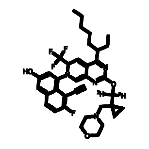 [2H]C([2H])(Oc1nc(C(CC)CCCCC)c2c(n1)=CN(c1cc(O)cc3ccc(F)c(C#C)c13)C(C(F)(F)F)C=2)C1(CN2CCOCC2)CC1